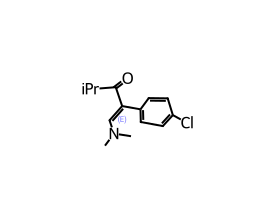 CC(C)C(=O)/C(=C/N(C)C)c1ccc(Cl)cc1